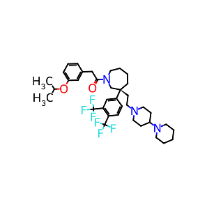 CC(C)Oc1cccc(CC(=O)N2CCCC[C@](CCN3CCC(N4CCCCC4)CC3)(c3ccc(C(F)(F)F)c(C(F)(F)F)c3)C2)c1